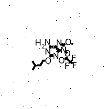 COc1nc2c(N)nc(OCCC(C)C)nc2n1OC(=O)C(F)(F)F